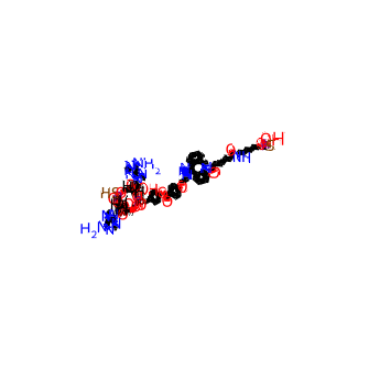 CP(O)(=S)OCCCCCCNC(=O)CCCCC(=O)N1Cc2ccccc2-c2nnn(CCOc3ccc(C(=O)Oc4ccc(CS[P@]5(=O)OC[C@H]6O[C@@H](n7cnc8c(N)ncnc87)[C@H](O[P@](=O)(S)OC[C@H]7O[C@@H](n8cnc9c(N)ncnc98)[C@H](O)[C@@H]7O5)[C@@H]6O)cc4)cc3)c2-c2ccccc21